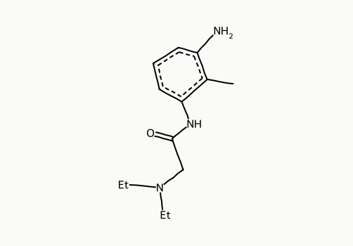 CCN(CC)CC(=O)Nc1cccc(N)c1C